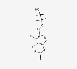 CC(C)(O)C(C)(C)OBc1ccc(OC(F)F)c(F)c1F